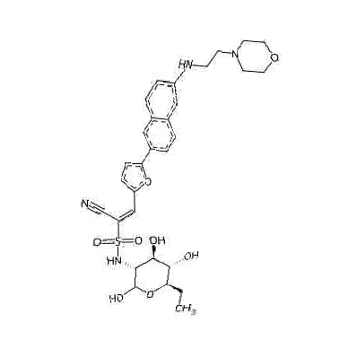 CC[C@H]1OC(O)[C@H](NS(=O)(=O)/C(C#N)=C/c2ccc(-c3ccc4cc(NCCN5CCOCC5)ccc4c3)o2)[C@@H](O)[C@@H]1O